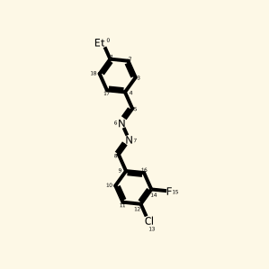 CCc1ccc(C=NN=Cc2ccc(Cl)c(F)c2)cc1